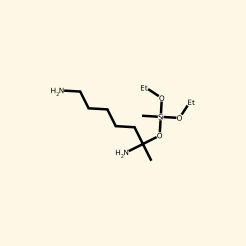 CCO[Si](C)(OCC)OC(C)(N)CCCCCN